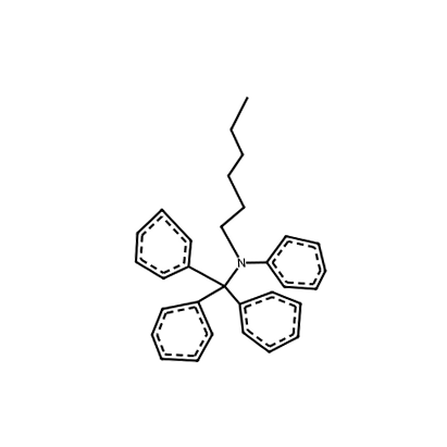 CCCCCCN(c1ccccc1)C(c1ccccc1)(c1ccccc1)c1ccccc1